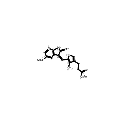 COC(=O)CCc1c[nH]c(C=C2C(=O)Nc3ncc(NC(C)=O)cc32)c1C